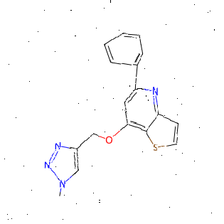 Cn1cc(COc2cc(-c3ccccc3)nc3ccsc23)nn1